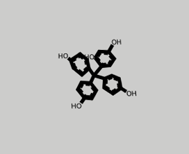 Oc1ccc(C(c2ccc(O)cc2)(c2ccc(O)cc2)c2ccc(O)cc2O)cc1